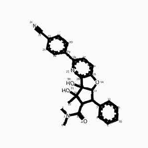 CN(C)C(=O)C1C(c2ccccc2)C2Oc3ccc(-c4ccc(C#N)cc4)nc3C2(O)C1(C)O